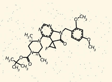 COc1ccc(CN2C(=O)C3(CC3F)c3c2ncnc3N2C[C@@H](C)N(C(=O)OC(C)(C)C)C[C@@H]2C)c(OC)c1